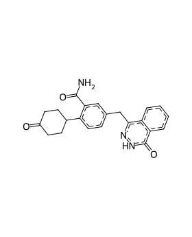 NC(=O)c1cc(Cc2n[nH]c(=O)c3ccccc23)ccc1C1CCC(=O)CC1